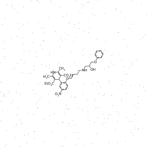 CCOC(=O)C1=C(C)NC(C)=C(C(=O)OCC)C1c1cc([N+](=O)[O-])ccc1OCCCCNCC(O)COc1ccccc1